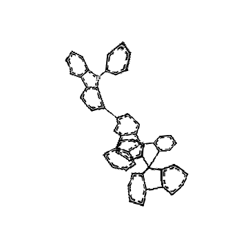 c1ccc(-n2c3ccccc3c3ccc(-c4ccc5c(c4)c4ccccc4n5-c4ccccc4C4(c5ccccc5)c5ccccc5-c5ccccc54)cc32)cc1